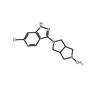 CN1CC2CN(c3n[nH]c4cc(Cl)ncc34)CC2C1